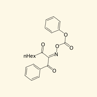 CCCCCCC(=O)/C(=N\OC(=O)Oc1ccccc1)C(=O)c1ccccc1